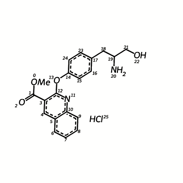 COC(=O)c1cc2ccccc2nc1Oc1ccc(CC(N)CO)cc1.Cl